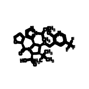 COc1ncc(C(F)(F)F)cc1CO[C@H]1[C@H](C(C)(C)C)[C@@H](C(=O)O)N(C(=O)[C@@H]2CCCO2)[C@H]1c1ccnn1C(C)C